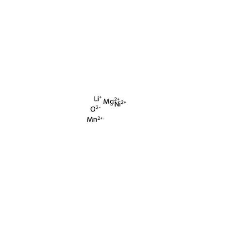 [Li+].[Mg+2].[Mn+2].[Ni+2].[O-2]